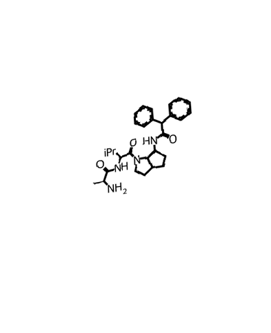 CC(C)C(NC(=O)[C@H](C)N)C(=O)N1CCC2CCC(NC(=O)C(c3ccccc3)c3ccccc3)C21